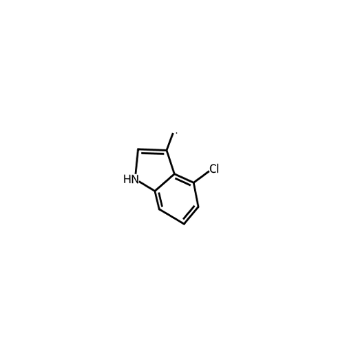 [CH2]c1c[nH]c2cccc(Cl)c12